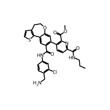 CCCNC(=O)c1ccc(-c2cc3c(cc2C(=O)Nc2ccc(CN)c(Cl)c2)-c2sccc2CCO3)c(C(=O)OC)n1